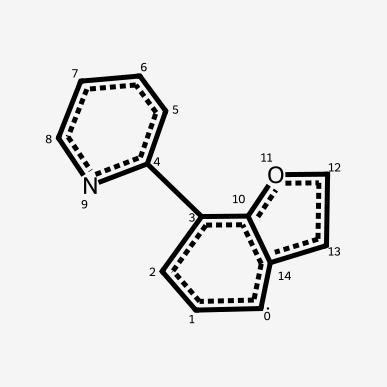 [c]1ccc(-c2ccccn2)c2occc12